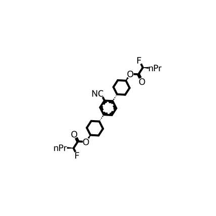 CCC[C@H](F)C(=O)O[C@H]1CC[C@H](c2ccc([C@H]3CC[C@H](OC(=O)[C@@H](F)CCC)CC3)c(C#N)c2)CC1